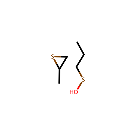 CC1CS1.CCCSO